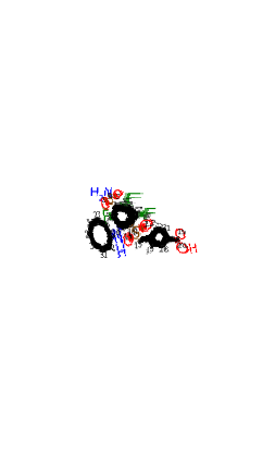 NS(=O)(=O)c1c(F)c(F)c(S(=O)(=O)Cc2ccc(C(=O)O)cc2)c(NC2CCCCCCC2)c1F